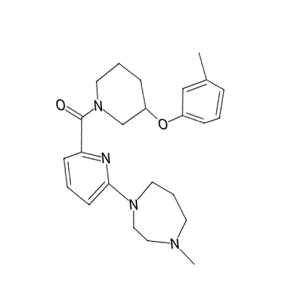 Cc1cccc(OC2CCCN(C(=O)c3cccc(N4CCCN(C)CC4)n3)C2)c1